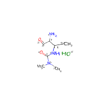 CC(NC(=O)N(C)C)C(N)C=O.Cl